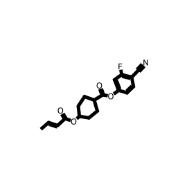 C/C=C/C(=O)OC1CCC(C(=O)Oc2ccc(C#N)c(F)c2)CC1